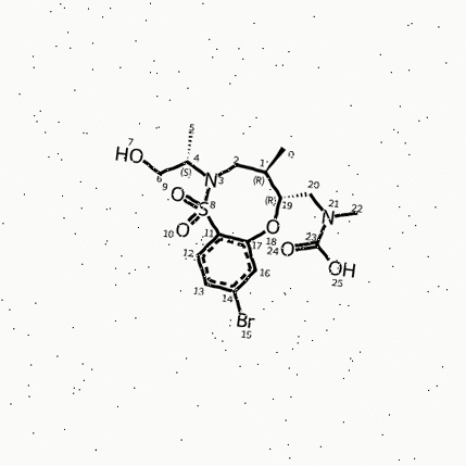 C[C@@H]1CN([C@@H](C)CO)S(=O)(=O)c2ccc(Br)cc2O[C@H]1CN(C)C(=O)O